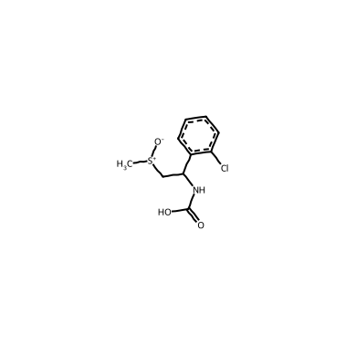 C[S+]([O-])CC(NC(=O)O)c1ccccc1Cl